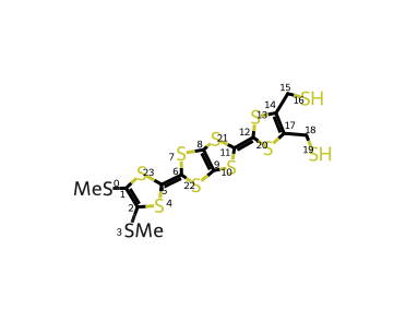 CSC1=C(SC)SC(=C2SC3=C(SC(=C4SC(CS)=C(CS)S4)S3)S2)S1